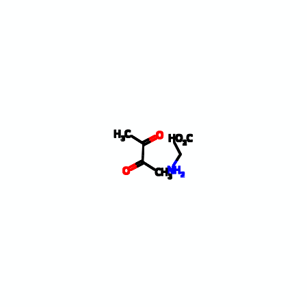 CC(=O)C(C)=O.NCC(=O)O